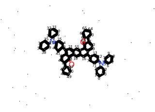 c1ccc(N(c2ccccc2)c2ccc(-c3cc4cc5c(cc(-c6ccc(N(c7ccccc7)c7ccccc7)cc6)c6ccc7c8ccccc8oc7c65)cc4c4c3ccc3c5ccccc5oc34)cc2)cc1